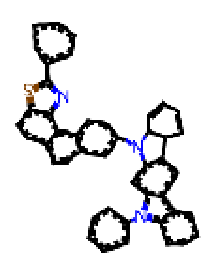 C1=CC2c3cc4c5ccccc5n(-c5ccccc5)c4cc3N(c3ccc4c(ccc5ccc6sc(-c7ccccc7)nc6c54)c3)C2C=C1